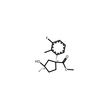 COC(=O)[C@@]1(c2cccc(F)c2C)CC[C@@](C)(O)C1